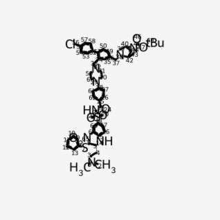 CN(C)CC[C@H](CSc1ccccc1)Nc1ccc(S(=O)(=O)NC(=O)c2ccc(N3CCN(Cc4cc(CN5CC6CC5CN6C(=O)OC(C)(C)C)ccc4-c4ccc(Cl)cc4)CC3)cc2)cc1[N+](=O)[O-]